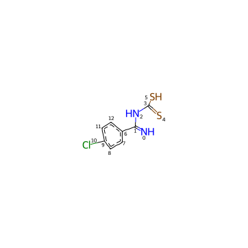 N=C(NC(=S)S)c1ccc(Cl)cc1